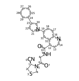 N#C[C@@H]1CSCN1C(=O)CNC(=O)c1ccnc2ccc(-n3ccc(-c4ccccc4)c3)cc12